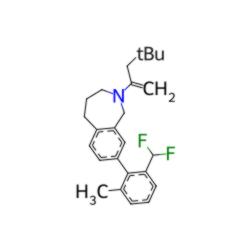 C=C(CC(C)(C)C)N1CCCc2ccc(-c3c(C)cccc3C(F)F)cc2C1